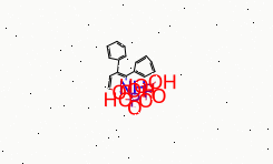 C1=CC(c2ccccc2)=C(c2ccccc2)NO1.O=P(O)(O)OP(=O)(O)O